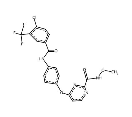 CONC(=O)c1nccc(Oc2ccc(NC(=O)c3ccc(Cl)c(C(F)(F)F)c3)cc2)n1